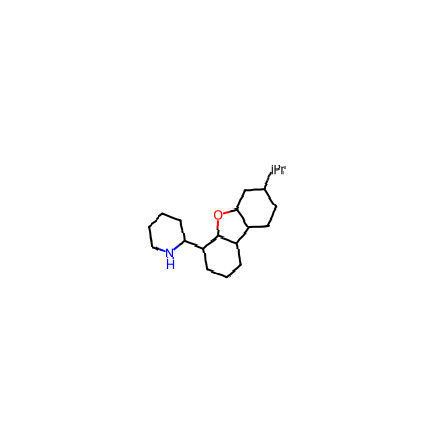 CC(C)C1CCC2C(C1)OC1C(C3CCCCN3)CCCC21